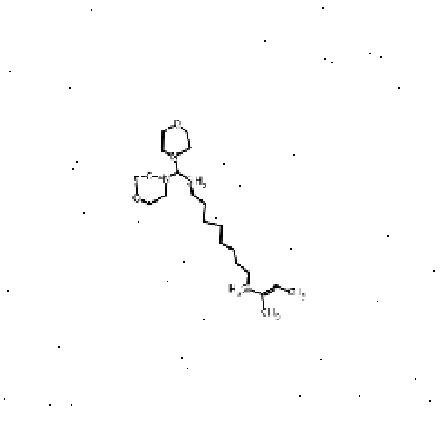 CC=C(C)[SiH2]CCCCCCCC[SiH2]C(N1CCOCC1)N1CCOCC1